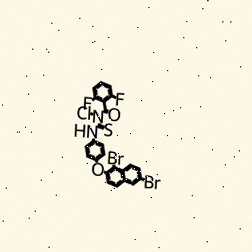 O=C(c1c(F)cccc1F)N(Cl)C(=S)Nc1ccc(Oc2ccc3cc(Br)ccc3c2Br)cc1